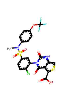 CN(c1ccc(OC(F)(F)F)cc1)S(=O)(=O)c1ccc(Cl)c(-n2c(=O)[nH]c3csc(C(=O)O)c3c2=O)c1